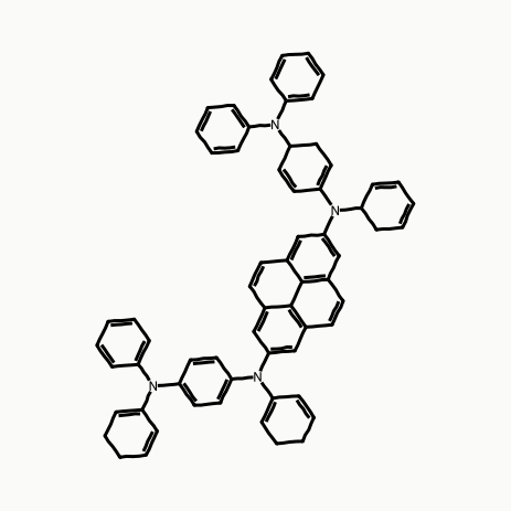 C1=CCC(N(C2=CCC(N(c3ccccc3)c3ccccc3)C=C2)c2cc3ccc4cc(N(C5=CCCC=C5)c5ccc(N(C6=CCCC=C6)c6ccccc6)cc5)cc5ccc(c2)c3c45)C=C1